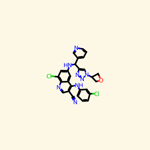 N#Cc1cnc2c(Cl)cc(NC(c3cccnc3)c3cn(C4COC4)nn3)cc2c1Nc1cccc(Cl)c1